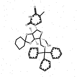 Cc1cn([C@@H]2O[C@@](CO)(COC(c3ccccc3)(c3ccccc3)c3ccccc3)[C@H]3OC4(CCCCC4)O[C@@H]23)c(=O)[nH]c1=O